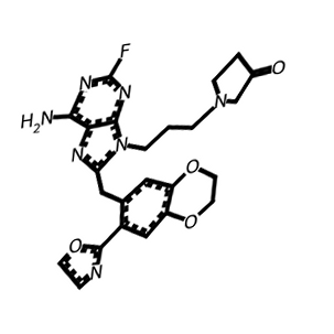 Nc1nc(F)nc2c1nc(Cc1cc3c(cc1-c1ncco1)OCCO3)n2CCCN1CCC(=O)C1